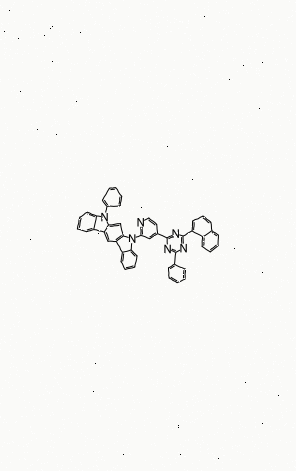 c1ccc(-c2nc(-c3ccnc(-n4c5ccccc5c5cc6c7ccccc7n(-c7ccccc7)c6cc54)c3)nc(-c3cccc4ccccc34)n2)cc1